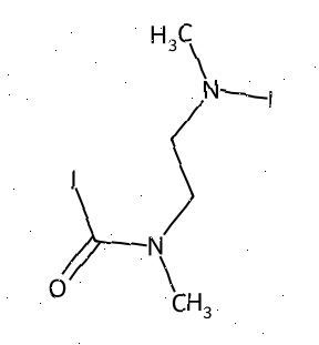 CN(I)CCN(C)C(=O)I